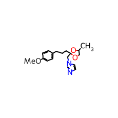 COc1ccc(CCCC2(Cn3ccnc3)OCC(C)O2)cc1